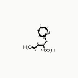 C=CC=C(Cc1ccccn1)C(=O)O